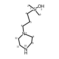 C[Si](C)(O)CCCN1CCNCC1